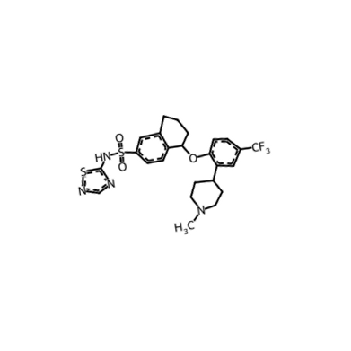 CN1CCC(c2cc(C(F)(F)F)ccc2OC2CCCc3cc(S(=O)(=O)Nc4ncns4)ccc32)CC1